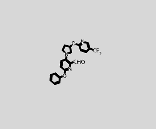 O=Cc1nc(Oc2ccccc2)ccc1N1CCC(Oc2ccc(C(F)(F)F)cn2)C1